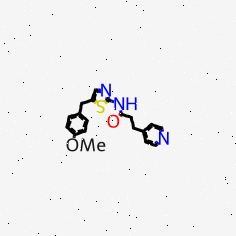 COc1ccc(Cc2cnc(NC(=O)CCc3ccncc3)s2)cc1